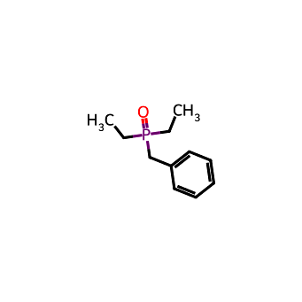 CCP(=O)(CC)Cc1ccccc1